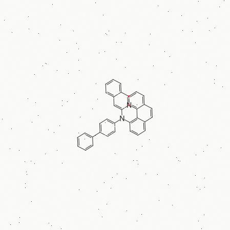 c1ccc(-c2ccc(N(c3ccc4ccccc4c3)c3cccc4ccc5cccnc5c34)cc2)cc1